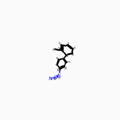 Cc1ccccc1-c1ccc(N=[N+]=[N-])cc1